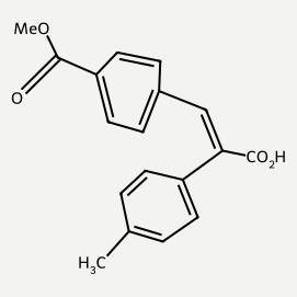 COC(=O)c1ccc(/C=C(/C(=O)O)c2ccc(C)cc2)cc1